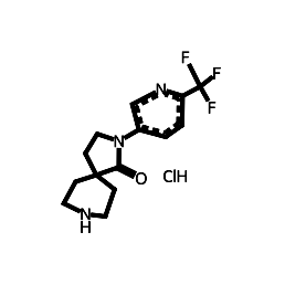 Cl.O=C1N(c2ccc(C(F)(F)F)nc2)CCC12CCNCC2